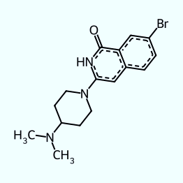 CN(C)C1CCN(c2cc3ccc(Br)cc3c(=O)[nH]2)CC1